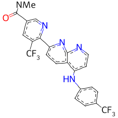 CNC(=O)c1cnc(-c2ccc3c(Nc4ccc(C(F)(F)F)cc4)ccnc3n2)c(C(F)(F)F)c1